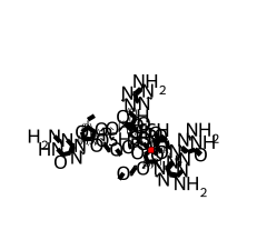 CC[C@H]1O[C@@H](n2cnc3c(=O)[nH]c(N)nc32)[C@@H](OCCOC)[C@H]1OP(=O)(S)OC[C@]12O[C@@H](n3cnc4c(N)ncnc43)[C@@H](O[C@H]1C)C2OP(=O)(S)OC[C@H]1O[C@@H](n2cnc3c(N)ncnc32)[C@@H](OCCOC)C1OP(=O)(S)OC[C@]12O[C@@H](n3cnc4c(=O)[nH]c(N)nc43)C(O[C@H]1C)C2O